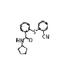 N#Cc1ccccc1Sc1ccccc1C(=O)NC1CCCC1